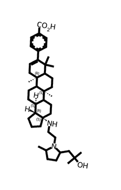 CC1CCC(CC(C)(C)O)N1CCN[C@]12CCC[C@@H]1[C@H]1CCC3[C@@](C)(CCC4C(C)(C)C(c5ccc(C(=O)O)cc5)=CC[C@@]43C)C1CC2